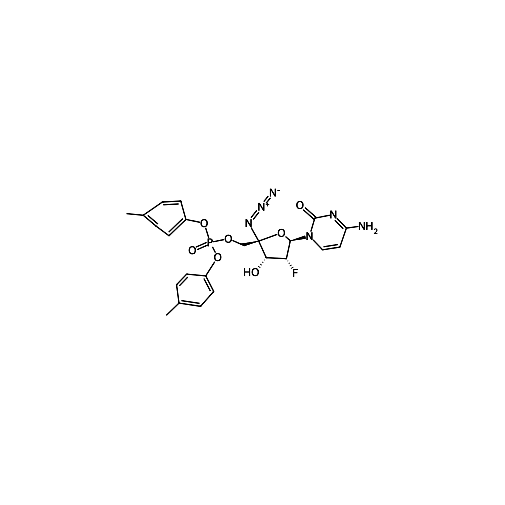 Cc1ccc(OP(=O)(OC[C@@]2(N=[N+]=[N-])O[C@@H](n3ccc(N)nc3=O)[C@H](F)[C@@H]2O)Oc2ccc(C)cc2)cc1